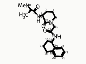 CNC(C)C(=O)NC1CCCN(CC(=O)NC2CCCc3ccccc32)C1=O